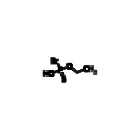 CCOP(O)(=S)Br